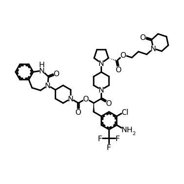 Nc1c(Cl)cc(C[C@@H](OC(=O)N2CCC(N3CCc4ccccc4NC3=O)CC2)C(=O)N2CCC(N3CCC[C@@H]3C(=O)OCCCN3CCCCC3=O)CC2)cc1C(F)(F)F